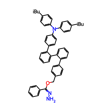 CCC(C)c1ccc(N(c2ccc(-c3ccccc3-c3ccccc3-c3ccc(COC(=NN)c4ccccc4)cc3)cc2)c2ccc(C(C)CC)cc2)cc1